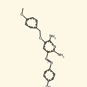 COc1ccc(COc2cc(/N=N/c3ccc(O)cc3)c(N)nc2N)cc1